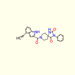 C#Cc1cccc2[nH]c(C(=O)N3CCC4(CC3)NC(=O)N(c3ccccc3)C4=O)cc12